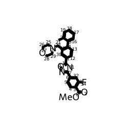 COC(=O)c1ccc(-c2noc(-c3ccc(-c4ccccc4C)c(CN4CCOCC4)c3)n2)cc1F